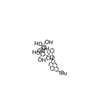 CC(c1cc(CO)c(O)c(CO)c1)C1(CCc2cc(CO)c(O)c(CO)c2)c2ccccc2-c2ccc(-c3ccc4ccc5cc(C(C)(C)C)cc6ccc3c4c56)cc21